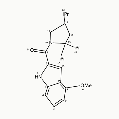 COc1cccc2[nH]c(C(=O)N3CC(C(C)C)CC3(C(C)C)C(C)C)cc12